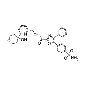 NS(=O)(=O)c1ccc(-c2oc(C(=O)COCc3cccc(C4(O)CCOCC4)n3)nc2-c2ccccc2)cc1